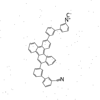 [C-]#[N+]c1cccc(-c2cccc(-c3ccc4c(c3)c3ccccc3c3cc(-c5cccc(-c6cccc(C#N)c6)c5)c5ccccc5c43)c2)c1